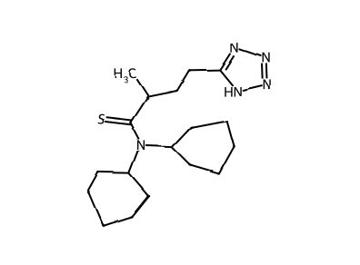 CC(CCc1nnn[nH]1)C(=S)N(C1CCCCC1)C1CCCCC1